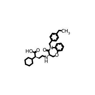 CCc1ccc(CN2C(=O)[C@@H](NCC[C@H](C(=O)O)C3CCCCC3)COc3ccccc32)cc1